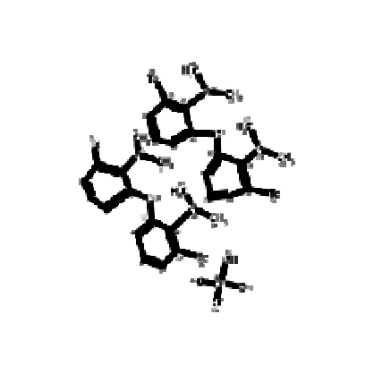 CP(C)c1[c]([Tc])cccc1Oc1ccc[c]([Tc])c1P(C)C.CP(C)c1[c]([Tc])cccc1Oc1ccc[c]([Tc])c1P(C)C.[O-][Cl+3]([O-])([O-])O